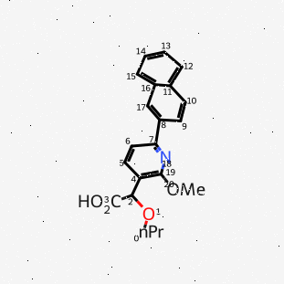 CCCOC(C(=O)O)c1ccc(-c2ccc3ccccc3c2)nc1OC